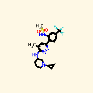 Cc1cc(-c2ccc(C(F)(F)F)cc2NS(C)(=O)=O)nnc1N[C@@H]1CCCN(C2CC2)C1